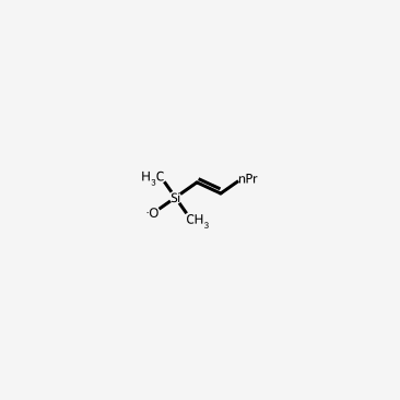 CCCC=C[Si](C)(C)[O]